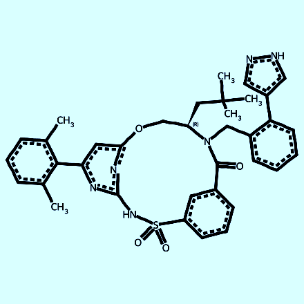 Cc1cccc(C)c1-c1cc2nc(n1)NS(=O)(=O)c1cccc(c1)C(=O)N(Cc1ccccc1-c1cn[nH]c1)[C@H](CC(C)(C)C)CO2